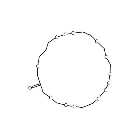 O=C1CCCCCCCCCCCCCCCCCCCCCCCCC1